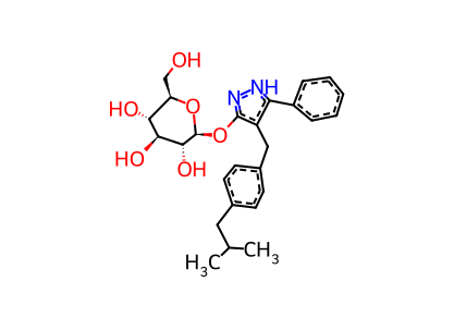 CC(C)Cc1ccc(Cc2c(O[C@@H]3O[C@H](CO)[C@@H](O)[C@H](O)[C@H]3O)n[nH]c2-c2ccccc2)cc1